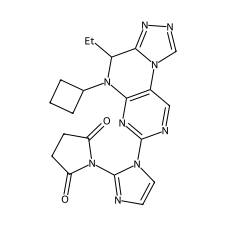 CCC1c2nncn2-c2cnc(-n3ccnc3N3C(=O)CCC3=O)nc2N1C1CCC1